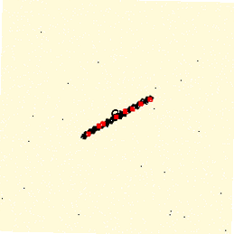 CCCCCCCCCCCCCCC=CC(=O)C=CCCCCCCCCCCCCCC